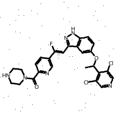 CC(Oc1ccc2[nH]nc(/C=C(\F)c3ccc(C(=O)N4CCNCC4)nc3)c2c1)c1c(Cl)cncc1Cl